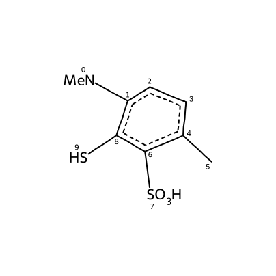 CNc1ccc(C)c(S(=O)(=O)O)c1S